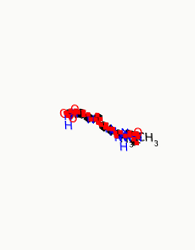 CN(C)C(=O)c1cc2cnc(Nc3ccc(N4CCN(c5ccc(Cc6ccccc6CN6CCC(c7ccc8c(c7)CN(C7CCC(=O)NC7=O)C8=O)CC6)cc5)CC4)cn3)nc2n1C1CCCC1